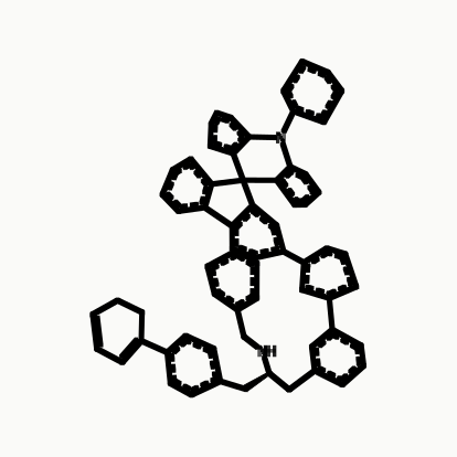 C1=CCCC(c2ccc(C[C@H](Cc3cccc(-c4cccc(-c5ccc6c(c5)C5(c7ccccc7-6)c6ccccc6N(c6ccccc6)c6ccccc65)c4)c3)NCc3ccccc3)cc2)=C1